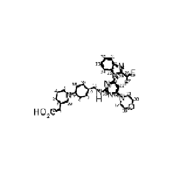 O=C(O)CC1CCCN(C2CCC(CNc3nc(N4CCOCC4)cc(-n4c(C(F)F)nc5ccccc54)n3)CC2)C1